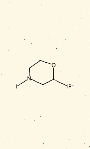 CC(C)C1CN(I)CCO1